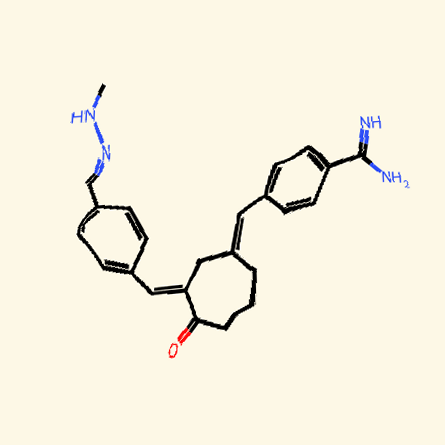 CNN=Cc1ccc(/C=C2\CC(=Cc3ccc(C(=N)N)cc3)CCCC2=O)cc1